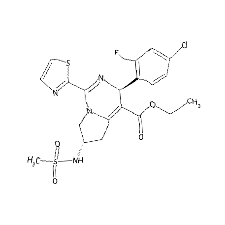 CCOC(=O)C1=C2C[C@H](NS(C)(=O)=O)CN2C(c2nccs2)=N[C@H]1c1ccc(Cl)cc1F